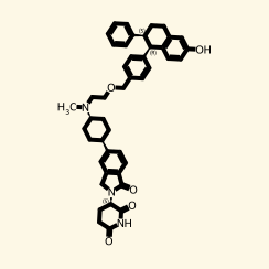 CN(CCOCc1ccc([C@@H]2c3ccc(O)cc3CC[C@@H]2c2ccccc2)cc1)[C@H]1CC[C@H](c2ccc3c(c2)CN([C@H]2CCC(=O)NC2=O)C3=O)CC1